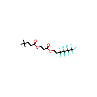 CC(C)(C)CCC(=O)OCCC(=O)OCCC(F)(F)C(F)(F)C(F)(F)C(F)(F)F